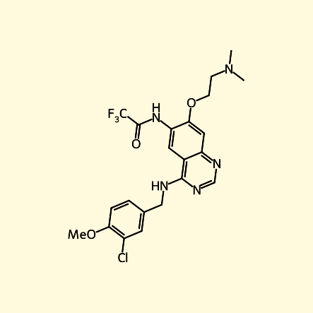 COc1ccc(CNc2ncnc3cc(OCCN(C)C)c(NC(=O)C(F)(F)F)cc23)cc1Cl